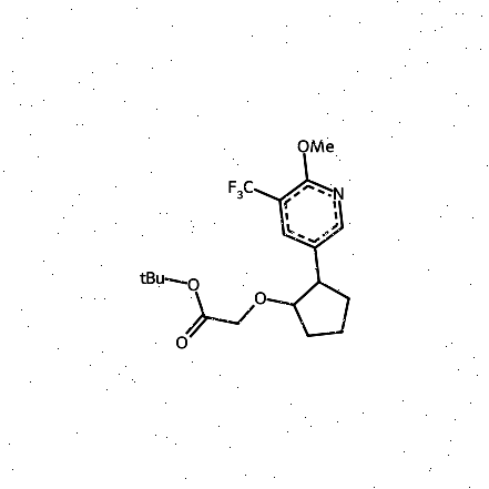 COc1ncc(C2CCCC2OCC(=O)OC(C)(C)C)cc1C(F)(F)F